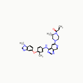 C=CC(=O)N1CCN(c2cc3c(Nc4ccc(Oc5ccc6c(c5)ncn6C)c(C)c4)ncnc3cn2)C[C@H]1C